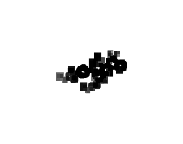 COc1nc(Nc2ccc(S(C)(=O)=O)cc2)c2c(C)cc(-c3ncccc3C(F)(F)F)nc2n1